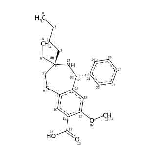 CCCC[C@]1(CC)CSc2cc(C(=O)O)c(OC)cc2[C@@H](c2ccccc2)N1